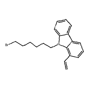 C=Cc1cccc2c3ccccc3n(CCCCCCBr)c12